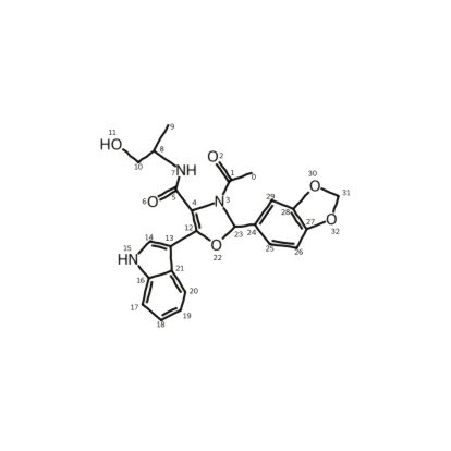 CC(=O)N1C(C(=O)NC(C)CO)=C(c2c[nH]c3ccccc23)OC1c1ccc2c(c1)OCO2